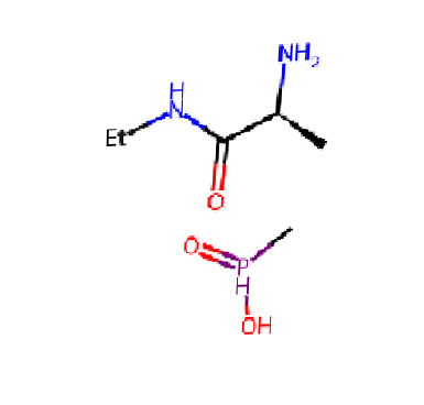 CCNC(=O)[C@H](C)N.C[PH](=O)O